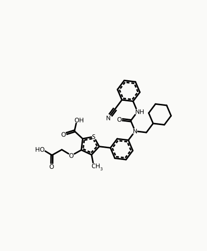 Cc1c(-c2cccc(N(CC3CCCCC3)C(=O)Nc3ccccc3C#N)c2)sc(C(=O)O)c1OCC(=O)O